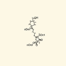 CCCCCCCCCCN(CCCCCCC(C)(C(=O)OCCCCCCCC)C(=O)OCCCCCCCC)C1CCC(CO)CC1